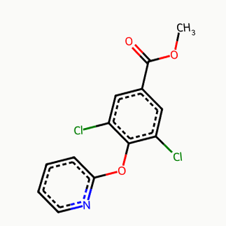 COC(=O)c1cc(Cl)c(Oc2ccccn2)c(Cl)c1